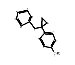 O=Cc1ccc(C2(Cc3ccccc3)CC2)cc1